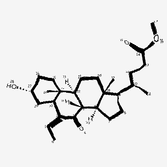 C/C=C1\C(=O)[C@H]2[C@@H]3CC[C@H]([C@H](C)CCC(=O)OC)[C@@]3(C)CC[C@@H]2[C@@]2(C)CC[C@@H](O)CC12